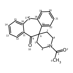 CC(=O)N1CCC2(CC1)C(=O)c1ccccc1Sc1ccccc12